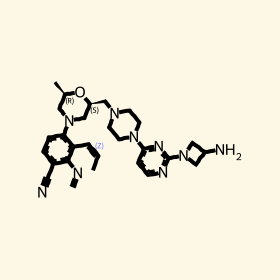 C=Nc1c(C#N)ccc(N2C[C@H](CN3CCN(c4ccnc(N5CC(N)C5)n4)CC3)O[C@H](C)C2)c1/C=C\C